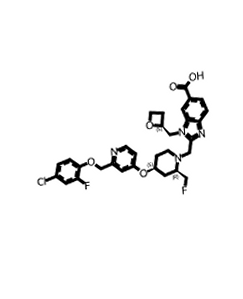 O=C(O)c1ccc2nc(CN3CC[C@H](Oc4ccnc(COc5ccc(Cl)cc5F)c4)C[C@@H]3CF)n(C[C@@H]3CCO3)c2c1